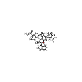 C=C(F)C(=O)N1CC[C@H](n2ncc3c(O[C@@H](C)[C@@H]4CCCN4C)nc4c(F)c(-c5cccc6cccc(Cl)c56)c(Cl)cc4c32)C[C@H]1CC#N